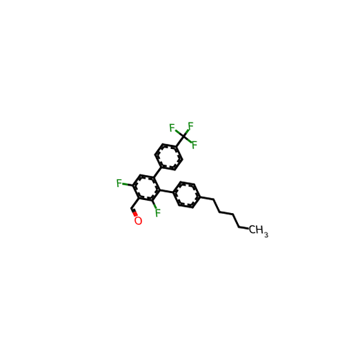 CCCCCc1ccc(-c2c(-c3ccc(C(F)(F)F)cc3)cc(F)c(C=O)c2F)cc1